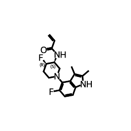 C=CC(=O)N[C@H]1CN(c2c(F)ccc3[nH]c(C)c(C)c23)CC[C@H]1F